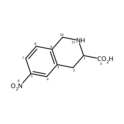 O=C(O)C1Cc2cc([N+](=O)[O-])ccc2CN1